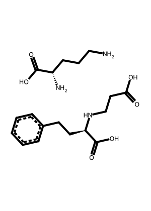 NCCC[C@H](N)C(=O)O.O=C(O)CCN[C@H](CCc1ccccc1)C(=O)O